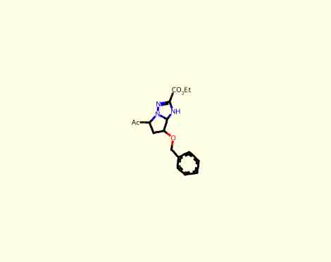 CCOC(=O)C1=NN2C(C(C)=O)CC(OCc3ccccc3)C2N1